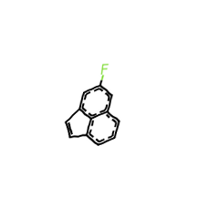 Fc1cc2c3c(cccc3c1)C=C2